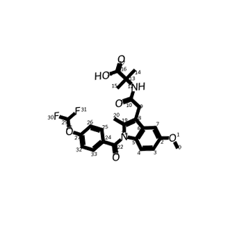 COc1ccc2c(c1)c(CC(=O)NC(C)(C)C(=O)O)c(C)n2C(=O)c1ccc(OC(F)F)cc1